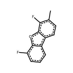 Cc1ccc2c(oc3c(F)cccc32)c1F